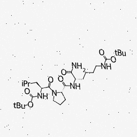 CC(C)C[C@H](NC(=O)OC(C)(C)C)C(=O)N1CCC[C@H]1C(=O)N[C@@H](CCCCNC(=O)OC(C)(C)C)C(N)=O